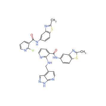 Cc1nc2cc(NC(=O)c3cccnc3F)ccc2s1.Cc1nc2cc(NC(=O)c3cccnc3NCc3ccnc4[nH]ncc34)ccc2s1